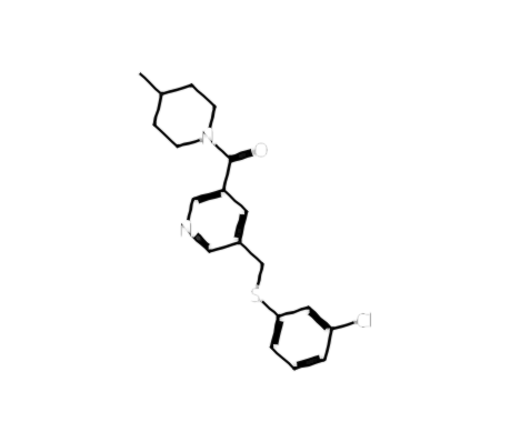 CC1CCN(C(=O)c2cncc(CSc3cccc(Cl)c3)c2)CC1